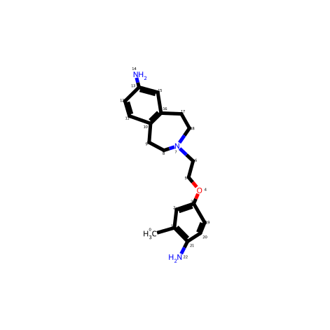 Cc1cc(OCCN2CCc3ccc(N)cc3CC2)ccc1N